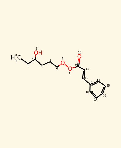 CCC(O)CCCOOC(=O)C=Cc1ccccc1